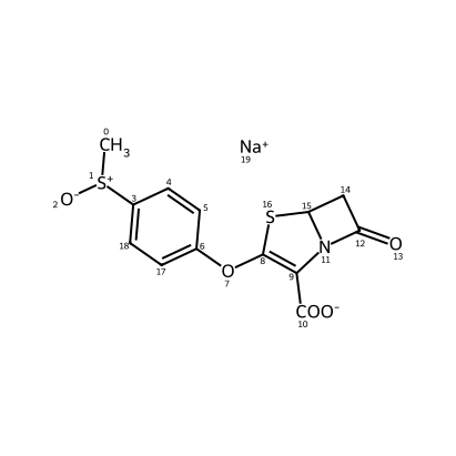 C[S+]([O-])c1ccc(OC2=C(C(=O)[O-])N3C(=O)CC3S2)cc1.[Na+]